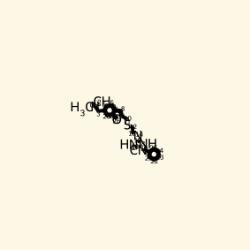 CN(C)Cc1ccc2cc(CSCC/N=C(\NC#N)NCc3ccccc3)oc2c1